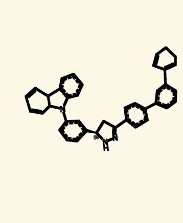 C1=CC2c3ccccc3N(c3cccc([C@H]4CC(c5ccc(-c6cccc(C7=CCCC=C7)c6)cc5)=NN4)c3)C2C=C1